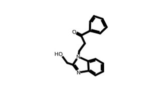 O=C(CCn1c(CO)nc2ccccc21)c1ccccc1